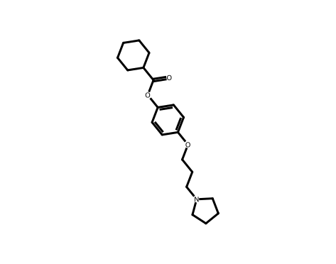 O=C(Oc1ccc(OCCCN2CCCC2)cc1)C1CCCCC1